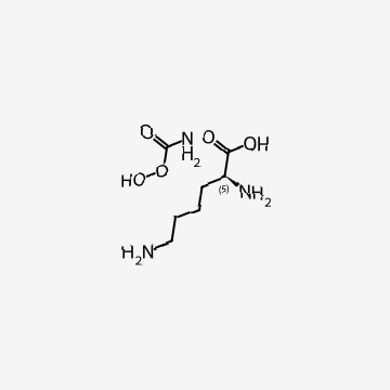 NC(=O)OO.NCCCC[C@H](N)C(=O)O